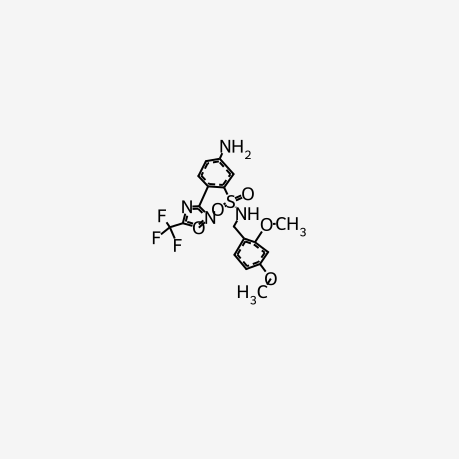 COc1ccc(CNS(=O)(=O)c2cc(N)ccc2-c2noc(C(F)(F)F)n2)c(OC)c1